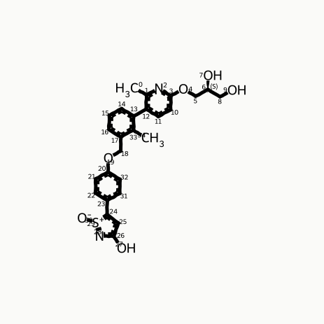 Cc1nc(OC[C@@H](O)CO)ccc1-c1cccc(COc2ccc(-c3cc(O)n[s+]3[O-])cc2)c1C